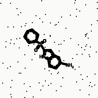 Nc1ccc2[nH]c(S(=O)(=O)c3ccccc3)cc2c1